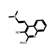 COc1nc2ccccc2c(C=CN(C)C)c1C#N